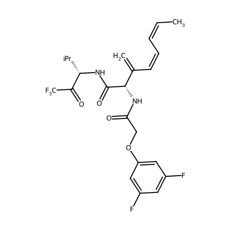 C=C(/C=C\C=C/C)[C@H](NC(=O)COc1cc(F)cc(F)c1)C(=O)N[C@H](C(=O)C(F)(F)F)C(C)C